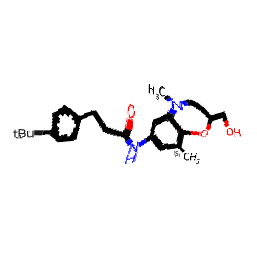 C[C@H]1C=C(NC(=O)CCc2ccc(C(C)(C)C)cc2)C=C2C1OC(CO)CN2C